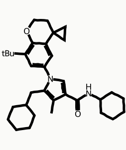 Cc1c(C(=O)NC2CCCCC2)cn(-c2cc(C(C)(C)C)c3c(c2)C2(CCO3)CC2)c1CC1CCCCC1